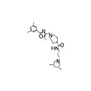 Cc1cc(C)cc(-c2nc(CN3CCC(C(=O)NCCCN4C[C@H](C)C[C@H](C)C4)CC3)c(C)o2)c1